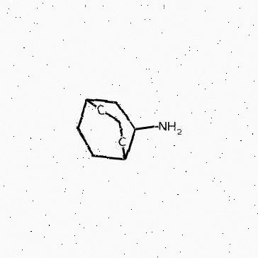 NC1CC2CCCC1CC2